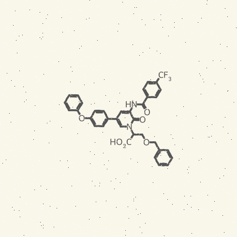 O=C(Nc1cc(-c2ccc(Oc3ccccc3)cc2)cn(C(COCc2ccccc2)C(=O)O)c1=O)c1ccc(C(F)(F)F)cc1